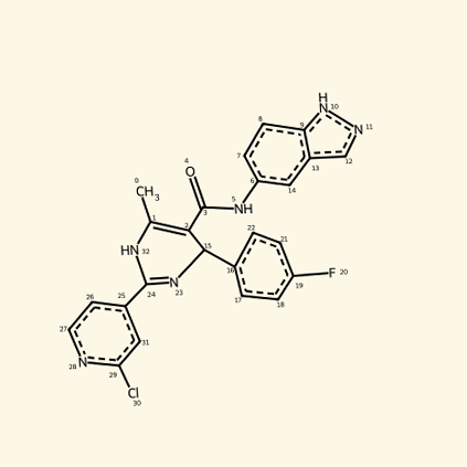 CC1=C(C(=O)Nc2ccc3[nH]ncc3c2)C(c2ccc(F)cc2)N=C(c2ccnc(Cl)c2)N1